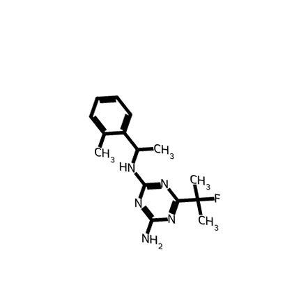 Cc1ccccc1C(C)Nc1nc(N)nc(C(C)(C)F)n1